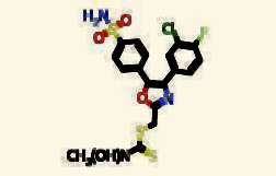 CN(O)C(=S)SCc1nc(-c2ccc(F)c(Cl)c2)c(-c2ccc(S(N)(=O)=O)cc2)o1